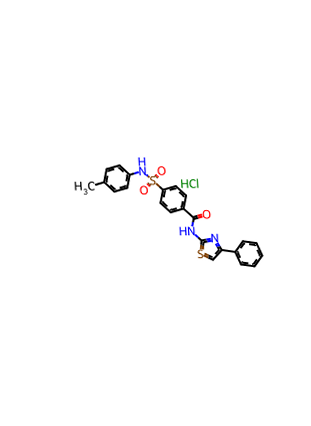 Cc1ccc(NS(=O)(=O)c2ccc(C(=O)Nc3nc(-c4ccccc4)cs3)cc2)cc1.Cl